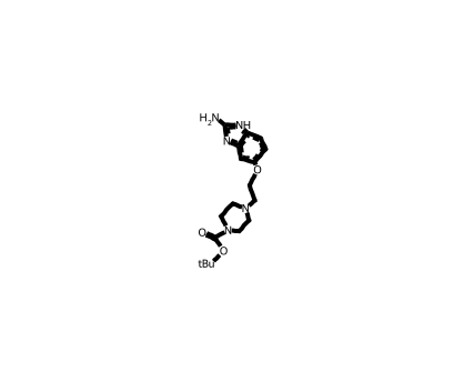 CC(C)(C)OC(=O)N1CCN(CCOc2ccc3[nH]c(N)nc3c2)CC1